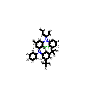 C=C/C(=C\CC)N(c1ccccc1)c1cc(C)cc(N(c2ccccc2)c2cc(C(C)(C)C)cc(C(C)(C)C)c2)c1Cl